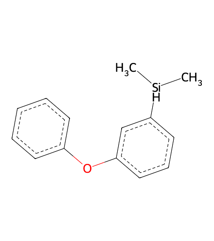 C[SiH](C)c1cccc(Oc2ccccc2)c1